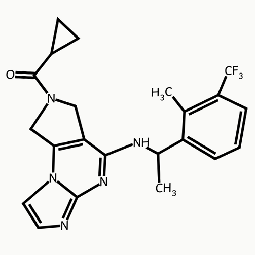 Cc1c(C(C)Nc2nc3nccn3c3c2CN(C(=O)C2CC2)C3)cccc1C(F)(F)F